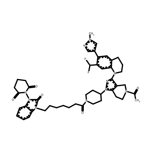 CC(=O)N1CCc2c(c(N3CCCc4cc(-c5cnn(C)c5)c(C(F)F)cc43)nn2C2CCN(C(=O)CCCCCCn3c(=O)n(N4C(=O)CCCC4=O)c4ccccc43)CC2)C1